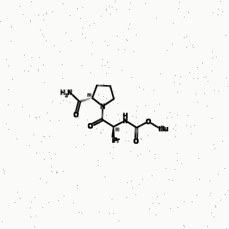 CC(C)[C@H](NC(=O)OC(C)(C)C)C(=O)N1CCC[C@H]1C(N)=O